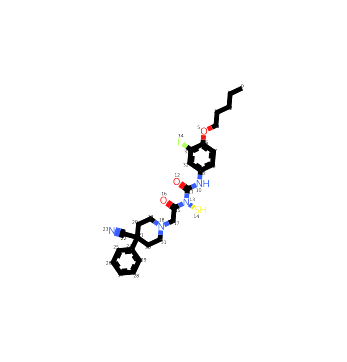 CCCCCOc1ccc(NC(=O)N(S)C(=O)CN2CCC(C#N)(c3ccccc3)CC2)cc1F